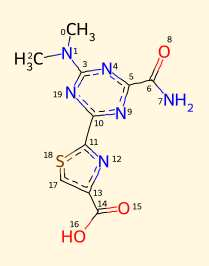 CN(C)c1nc(C(N)=O)nc(-c2nc(C(=O)O)cs2)n1